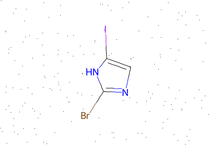 Brc1ncc(I)[nH]1